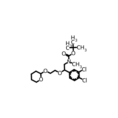 CN(CC(OCCOC1CCCCO1)c1ccc(Cl)c(Cl)c1)C(=O)OC(C)(C)C